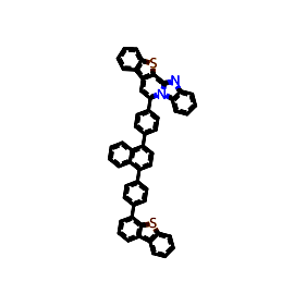 c1ccc2c(c1)nc1c3sc4ccccc4c3cc(-c3ccc(-c4ccc(-c5ccc(-c6cccc7c6sc6ccccc67)cc5)c5ccccc45)cc3)n21